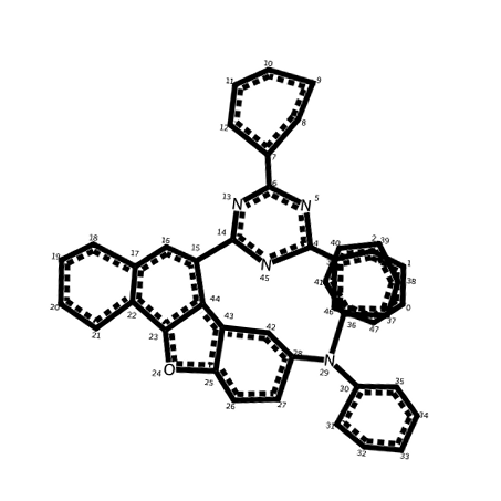 c1ccc(-c2nc(-c3ccccc3)nc(-c3cc4ccccc4c4oc5ccc(N(c6ccccc6)c6ccccc6)cc5c34)n2)cc1